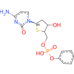 Nc1ccn([C@H]2CC(O)C(COP(=O)(O)Oc3ccccc3)S2)c(=O)n1